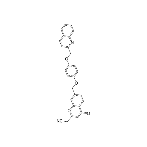 N#CCc1cc(=O)c2ccc(COc3ccc(OCc4ccc5ccccc5n4)cc3)cc2o1